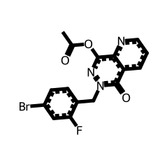 CC(=O)Oc1nn(Cc2ccc(Br)cc2F)c(=O)c2cccnc12